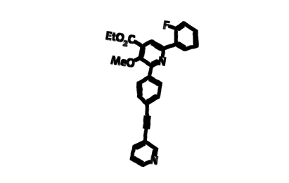 CCOC(=O)c1cc(-c2ccccc2F)nc(-c2ccc(C#Cc3cccnc3)cc2)c1OC